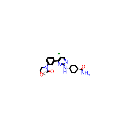 NC(=O)[C@H]1CC[C@H](Nc2ncc(F)c(-c3cccc(N4CCOCC4=O)c3)n2)CC1